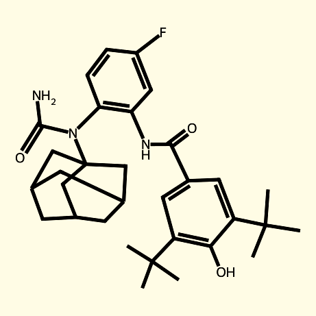 CC(C)(C)c1cc(C(=O)Nc2cc(F)ccc2N(C(N)=O)C23CC4CC(CC(C4)C2)C3)cc(C(C)(C)C)c1O